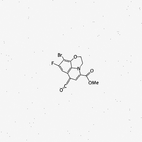 COC(=O)C1=CC(=C=O)c2cc(F)c(Br)c3c2N1CCO3